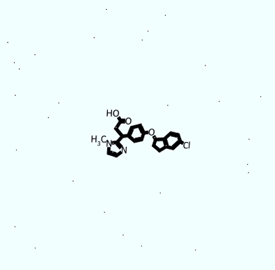 Cn1ccnc1C(CC(=O)O)c1ccc(OC2CCc3cc(Cl)ccc32)cc1